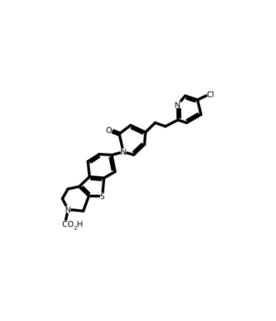 O=C(O)N1CCc2c(sc3cc(-n4ccc(CCc5ccc(Cl)cn5)cc4=O)ccc23)C1